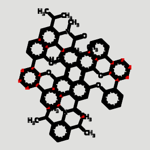 Cc1cc(Oc2ccccc2-c2ccccc2)c2c3c(Oc4ccccc4-c4ccccc4)cc4c5c(cc(Oc6ccccc6-c6ccccc6)c(c6c(Oc7ccccc7-c7ccccc7)cc(C(=O)N(C)c7c(C(C)C)cccc7C(C)C)c1c26)c53)C(=O)N(c1c(C(C)C)cccc1C(C)C)C4=O